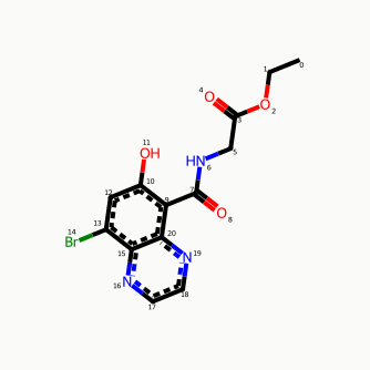 CCOC(=O)CNC(=O)c1c(O)cc(Br)c2nccnc12